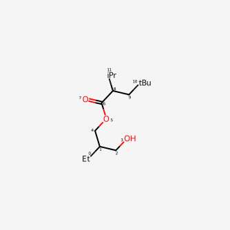 CCC(CO)COC(=O)C(CC(C)(C)C)C(C)C